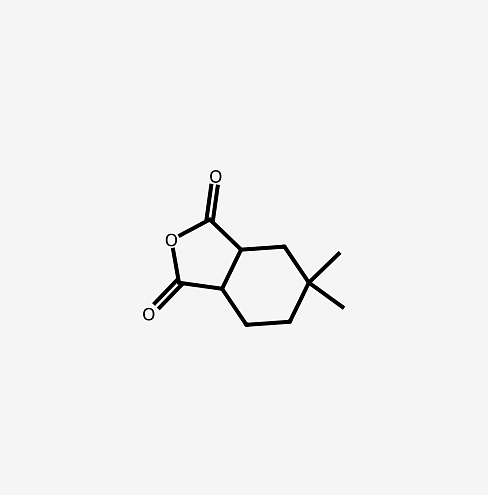 CC1(C)CCC2C(=O)OC(=O)C2C1